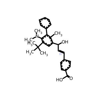 Cc1c(C(O)/C=C/c2ccc(C(=O)O)cc2)cc(C(C)(C)C)c(N(C)C)c1-c1ccccc1